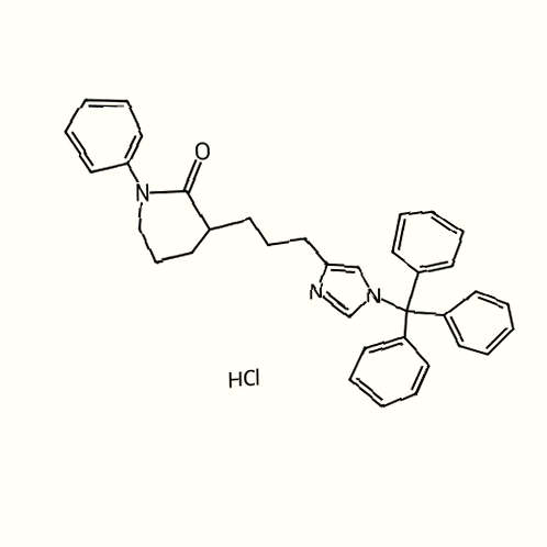 Cl.O=C1C(CCCc2cn(C(c3ccccc3)(c3ccccc3)c3ccccc3)cn2)CCCN1c1ccccc1